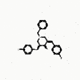 O=C1C(=Cc2ccc(F)cc2)CN(Cc2ccccc2)CC1=Cc1ccc(F)cc1